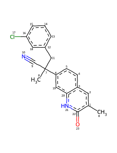 Cc1cc2ccc(C(C)(C#N)Cc3cccc(Cl)c3)cc2[nH]c1=O